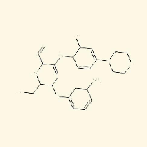 CCC1NC(C=O)C(NC2C=CC(N3CCOCC3)=CC2C)=NC1OC1=CC=CC(N)C1